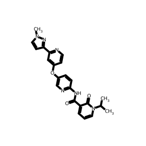 CC(C)n1cccc(C(=O)Nc2ccc(Oc3ccnc(-c4ccn(C)n4)c3)cn2)c1=O